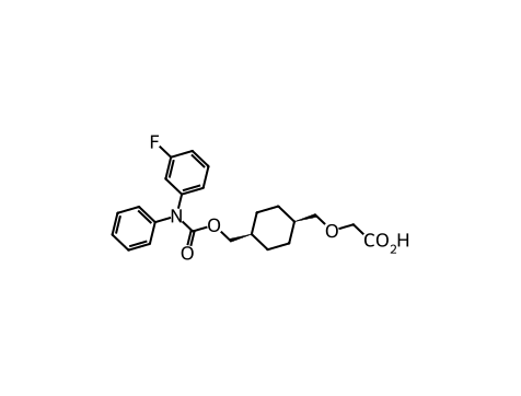 O=C(O)COC[C@H]1CC[C@@H](COC(=O)N(c2ccccc2)c2cccc(F)c2)CC1